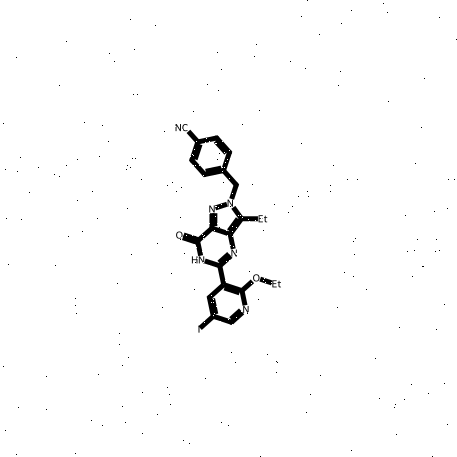 CCOc1ncc(I)cc1-c1nc2c(CC)n(Cc3ccc(C#N)cc3)nc2c(=O)[nH]1